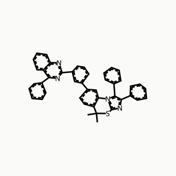 CC1(C)Sc2nc(-c3ccccc3)c(-c3ccccc3)n2-c2cc(-c3cccc(-c4nc(-c5ccccc5)c5ccccc5n4)c3)ccc21